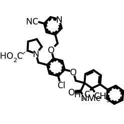 CNC(=O)C1(COc2cc(OCc3cncc(C#N)c3)c(CN3CCC[C@H]3C(=O)O)cc2Cl)C=CC=C(c2ccccc2)C1(C)C